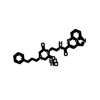 Cl.Cl.O=C(NCCN1C(=O)CN(CCCc2ccccc2)CC1=O)C1=Cc2cnc3cccc(n23)S1